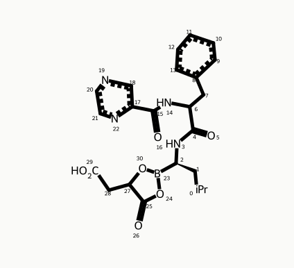 CC(C)C[C@H](NC(=O)C(Cc1ccccc1)NC(=O)c1cnccn1)B1OC(=O)C(CC(=O)O)O1